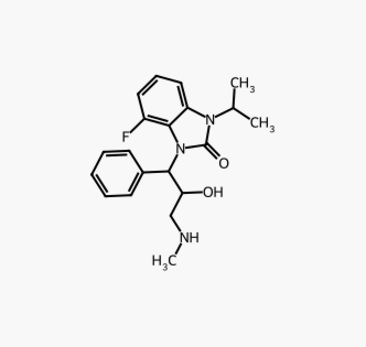 CNCC(O)C(c1ccccc1)n1c(=O)n(C(C)C)c2cccc(F)c21